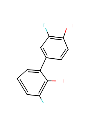 Oc1ccc(-c2cccc(F)c2O)cc1F